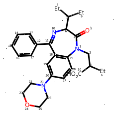 CCC(CN1C(=O)C(C(CC)CC)N=C(c2ccccc2)c2cc(N3CCOCC3)ccc21)C(=O)O